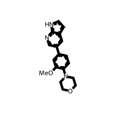 COc1cc(-c2cnc3[nH]c[c]c3c2)ccc1N1CCOCC1